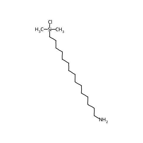 C[Si](C)(Cl)CCCCCCCCCCCCCCCN